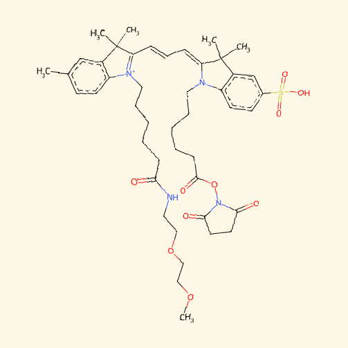 COCCOCCNC(=O)CCCCC[N+]1=C(C=CC=C2N(CCCCCC(=O)ON3C(=O)CCC3=O)c3ccc(S(=O)(=O)O)cc3C2(C)C)C(C)(C)c2cc(C)ccc21